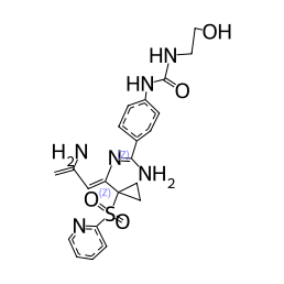 C=C(N)/C=C(\N=C(/N)c1ccc(NC(=O)NCCO)cc1)C1(S(=O)(=O)c2ccccn2)CC1